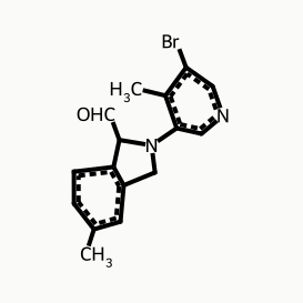 Cc1ccc2c(c1)CN(c1cncc(Br)c1C)C2C=O